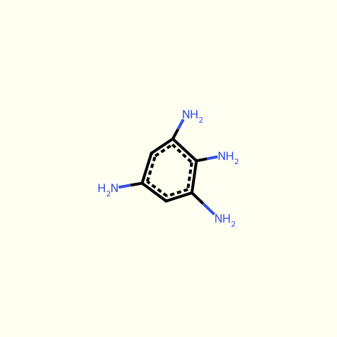 Nc1cc(N)c(N)c(N)c1